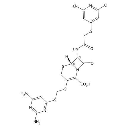 Nc1cc(SCSC2=C(C(=O)O)N3C(=O)[C@@H](NC(=O)CSc4cc(Cl)nc(Cl)c4)[C@H]3SC2)nc(N)n1